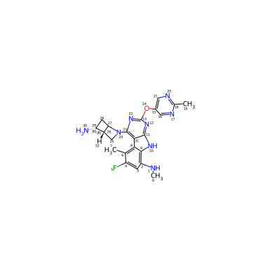 CNc1cc(F)c(C)c2c1[nH]c1nc(Oc3cnc(C)nc3)nc(N3C[C@H]4C3C[C@H]4N)c12